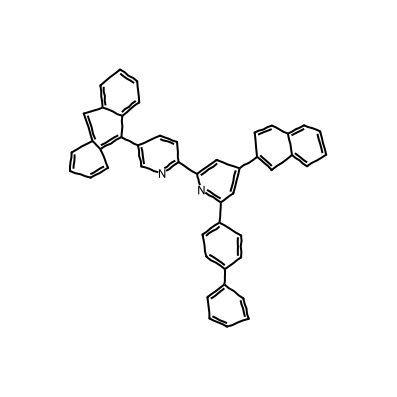 c1ccc(-c2ccc(-c3cc(-c4ccc5ccccc5c4)cc(-c4ccc(-c5c6ccccc6cc6ccccc56)cn4)n3)cc2)cc1